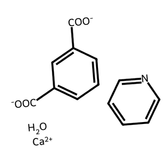 O.O=C([O-])c1cccc(C(=O)[O-])c1.[Ca+2].c1ccncc1